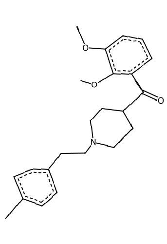 COc1cccc(C(=O)C2CCN(CCc3ccc(C)cc3)CC2)c1OC